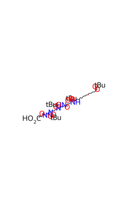 CC(C)(C)OC(=O)[C@H](CCC(=O)NCCCN(CCCCN(CCCNC(=O)CCC(=O)O)C(=O)OC(C)(C)C)C(=O)OC(C)(C)C)NC(=O)CCCCCCCCCCCCCC1OC1OC(C)(C)C